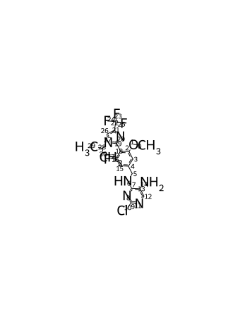 COc1cc(CNc2nc(Cl)ncc2N)cc(F)c1-c1nc(C(F)(F)F)cn1C(C)C